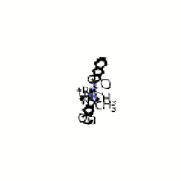 CC(C)(C)CN1/C(=C/C=C2\Oc3cc4c(cc3C2=O)CCCC4)C(C)(C)c2cc3c(cc21)OCCO3